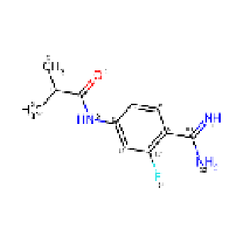 CC(C)C(=O)Nc1ccc(C(=N)N)c(F)c1